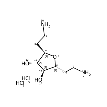 Cl.Cl.NCC[C@H]1O[C@H](CCN)[C@@H](O)[C@@H]1O